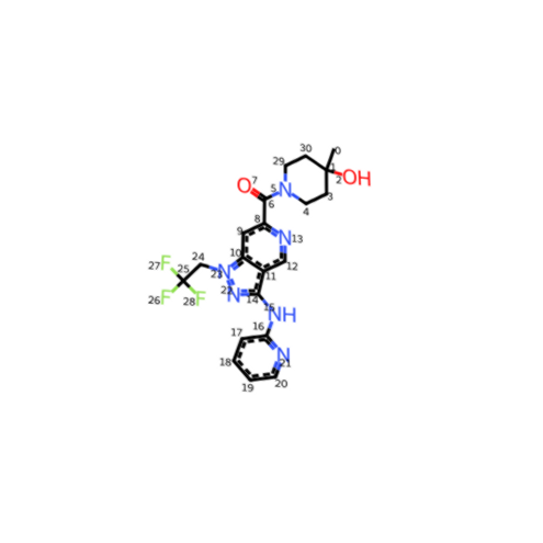 CC1(O)CCN(C(=O)c2cc3c(cn2)c(Nc2ccccn2)nn3CC(F)(F)F)CC1